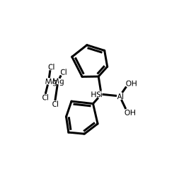 [Cl][Mg][Cl].[Cl][Mg][Cl].[OH][Al]([OH])[SiH](c1ccccc1)c1ccccc1